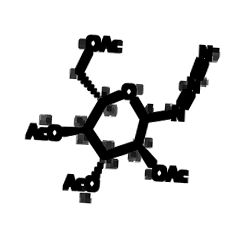 CC(=O)OC[C@@H]1OC(N=[N+]=[N-])[C@@H](OC(C)=O)[C@H](OC(C)=O)[C@H]1OC(C)=O